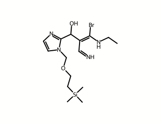 CCN/C(Br)=C(\C=N)C(O)c1nccn1COCC[Si](C)(C)C